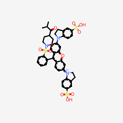 CC(C)C(=O)C1CCN(S(=O)(=O)c2ccccc2-c2c3cc/c(=[N+]4/CCc5cc(S(=O)(=O)O)ccc54)cc-3oc3cc(N4CCc5cc(S(=O)(=O)O)ccc54)ccc23)CC1